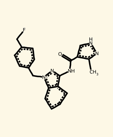 Cc1n[nH]cc1C(=O)Nc1nn(Cc2ccc(CF)cc2)c2ccccc12